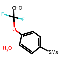 CSc1ccc(OC(F)(F)C=O)cc1.O